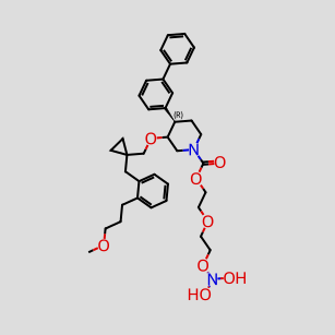 COCCCc1ccccc1CC1(COC2CN(C(=O)OCCOCCON(O)O)CC[C@@H]2c2cccc(-c3ccccc3)c2)CC1